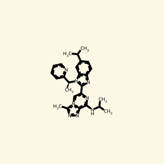 Cc1nnc2c(NC(C)C)nc(-c3nc4ccc(C(C)C)cc4n3[C@@H](C)c3ccccn3)cn12